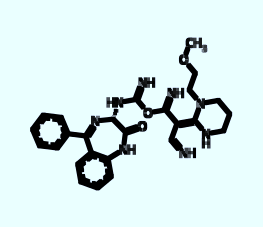 COCCN1CCCN/C1=C(\C=N)C(=N)OC(=N)N[C@H]1N=C(c2ccccc2)c2ccccc2NC1=O